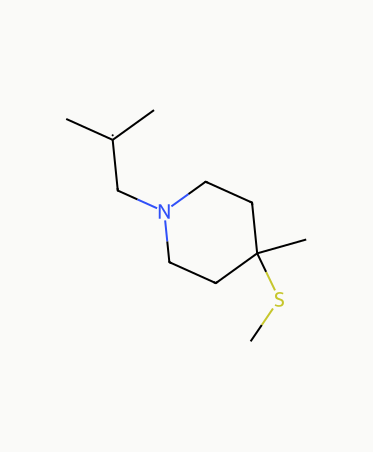 CSC1(C)CCN(C[C](C)C)CC1